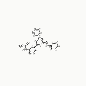 CC(=O)Nc1cc(-c2cc(OCc3ccccc3)nc(-c3cccnc3)c2)ccn1